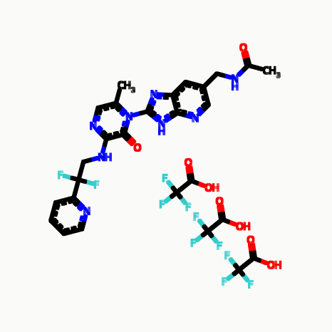 CC(=O)NCc1cnc2[nH]c(-n3c(C)cnc(NCC(F)(F)c4ccccn4)c3=O)nc2c1.O=C(O)C(F)(F)F.O=C(O)C(F)(F)F.O=C(O)C(F)(F)F